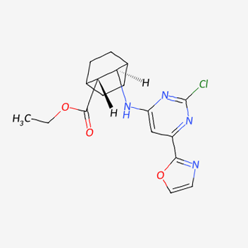 CCOC(=O)[C@@H]1C2CCC(CC2)[C@H]1Nc1cc(-c2ncco2)nc(Cl)n1